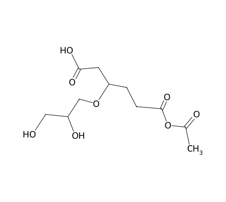 CC(=O)OC(=O)CCC(CC(=O)O)OCC(O)CO